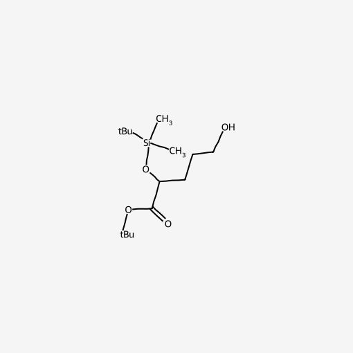 CC(C)(C)OC(=O)C(CCCO)O[Si](C)(C)C(C)(C)C